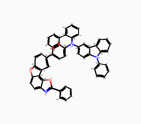 c1ccc(-c2nc3ccc4oc5ccc(-c6ccc(N(c7ccc8c(c7)c7ccccc7n8-c7ccccc7)c7ccccc7-c7ccccc7)cc6)cc5c4c3o2)cc1